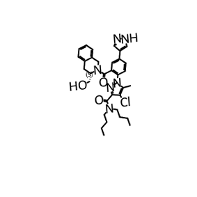 CCCCN(CCCC)C(=O)c1nn(-c2ccc(-c3cn[nH]c3)cc2C(=O)N2Cc3ccccc3C[C@H]2CO)c(C)c1Cl